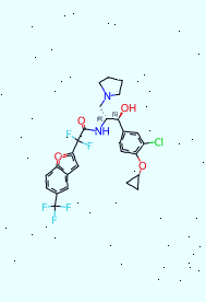 O=C(N[C@H](CN1CCCC1)[C@@H](O)c1ccc(OC2CC2)c(Cl)c1)C(F)(F)c1cc2cc(C(F)(F)F)ccc2o1